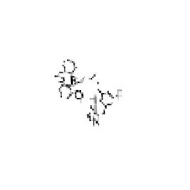 CCCCB(c1ccccc1OC)c1ccccc1SC.CCc1cc(F)cc(Cc2ncc[nH]2)c1